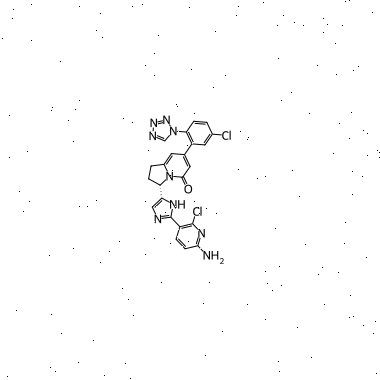 Nc1ccc(-c2ncc([C@@H]3CCc4cc(-c5cc(Cl)ccc5-n5cnnn5)cc(=O)n43)[nH]2)c(Cl)n1